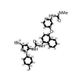 CNC(=O)Nc1cc(Oc2ccc(NC(=O)Nc3cc(C(C)(C)C)nn3-c3ccc(C)cc3)c3ccccc23)ccn1